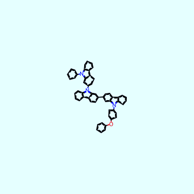 c1ccc(Oc2ccc(-n3c4ccccc4c4ccc(-c5ccc6c7ccccc7n(-c7ccc8c9ccccc9n(-c9ccccc9)c8c7)c6c5)cc43)cc2)cc1